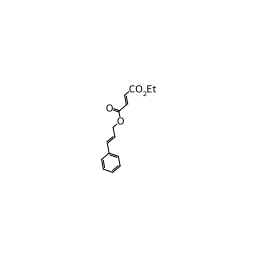 CCOC(=O)/C=C/C(=O)OCC=Cc1ccccc1